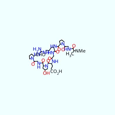 CNC(C)C(=O)NCC(=O)N1CCCC1C(=O)NC(CCCNC(=N)N)C(=O)NCC(=O)NC(CCC(=O)O)C(=O)N1CC(O)CC1C(=O)NCC(=O)N1CCCC1C=O